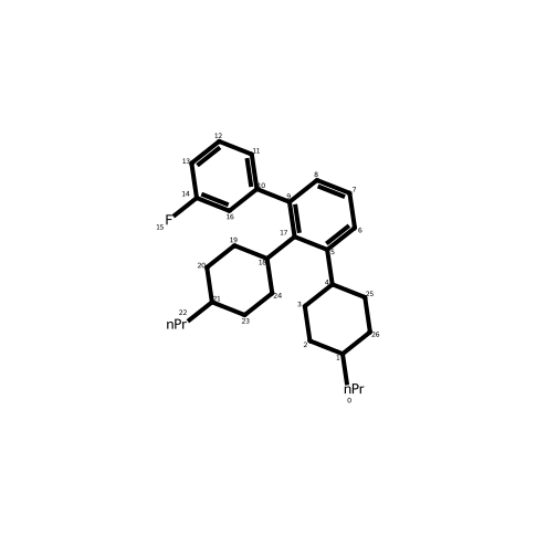 CCCC1CCC(c2cccc(-c3cccc(F)c3)c2C2CCC(CCC)CC2)CC1